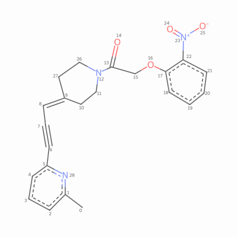 Cc1cccc(C#CC=C2CCN(C(=O)COc3ccccc3[N+](=O)[O-])CC2)n1